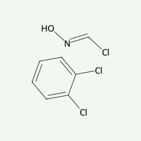 Clc1ccccc1Cl.ON=CCl